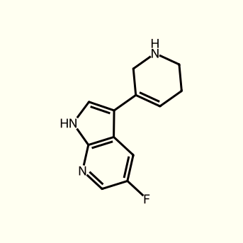 Fc1cnc2[nH]cc(C3=CCCNC3)c2c1